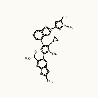 C[C@H](O)c1nc2nn(C)cc2cc1-c1nc(-c2cccc3nn(-c4cc(C(F)(F)F)n(C)n4)cc23)c(C2CC2)n1C